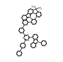 CC1(C)c2cccc3c2-c2c1ccc1c4ccccc4n(c21)-c1c(-c2cccc(-c4cccc(-c5nc(-c6ccc(-c7ccccc7)cc6)nc(-c6cccc7c6c6ccccc6n7-c6ccccc6)n5)c4)c2)cccc1-3